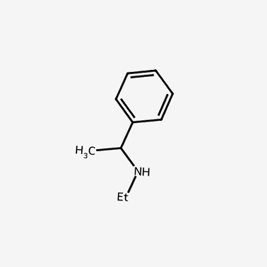 CCNC(C)c1ccccc1